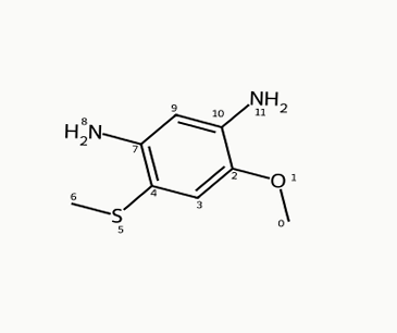 COc1cc(SC)c(N)cc1N